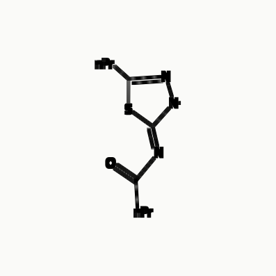 CCCC(=O)N=C1[N]N=C(CCC)S1